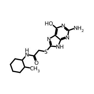 CC1CCCCC1NC(=O)CSc1nc2c(O)nc(N)nc2[nH]1